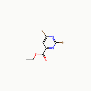 CCOC(=O)c1cc(Br)nc(Br)n1